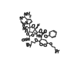 COC1O[C@@H]2[C@H](O1)[C@@](F)(COP(=O)(N[C@@H](CC(=O)OCCC(C)C)C(=O)OCCC(C)C)Oc1ccccc1)O[C@@]2(C#N)c1ccc2c(N)ncnn12